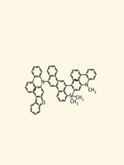 CN(c1ccc2c(c1)[Si](C)(C)c1cccc3c1c-2cc1c2ccccc2c(N(c2ccc4c(c2)oc2ccccc24)c2ccccc2-c2ccccc2)cc31)c1ccccc1-c1ccccc1